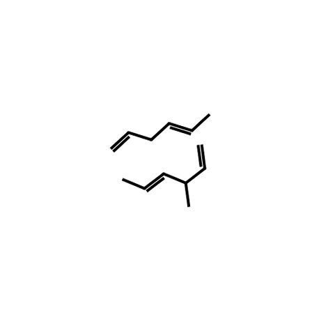 C=CC(C)C=CC.C=CCC=CC